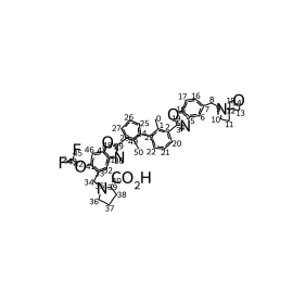 Cc1c(-c2nc3cc(CN4CCC45COC5)ccc3o2)cccc1-c1cccc(-c2nc3cc(CN4CCC[C@H]4C(=O)O)c(OC(F)F)cc3o2)c1C